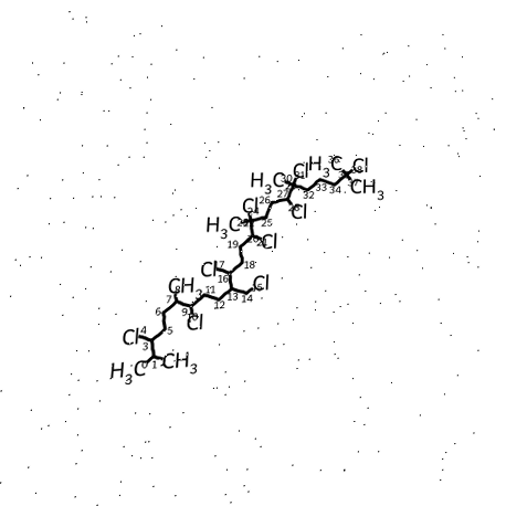 CC(C)C(Cl)CCC(C)C(Cl)CCC(CCl)C(Cl)CCC(Cl)C(C)(Cl)CCC(Cl)C(C)(Cl)CCCC(C)(C)Cl